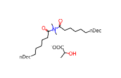 CC(O)C(=O)[O-].CCCCCCCCCCCCCCCC(=O)[N+](C)(C)C(=O)CCCCCCCCCCCCCCC